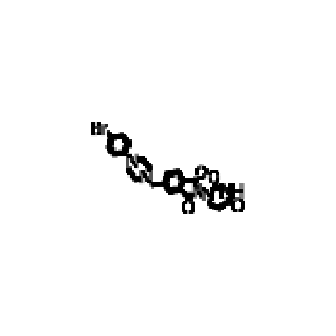 O=C1CCN(N2C(=O)c3ccc(CN4CCN(c5ccc(Br)cc5)CC4)cc3C2=O)C(=O)N1